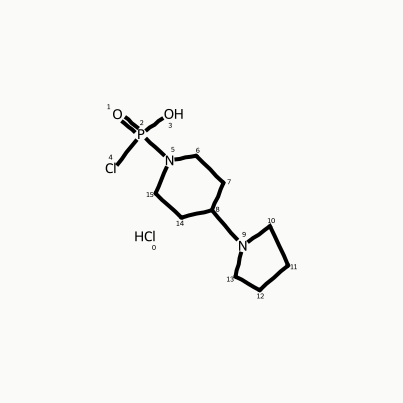 Cl.O=P(O)(Cl)N1CCC(N2CCCC2)CC1